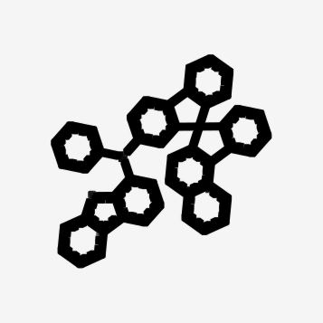 c1ccc(N(c2ccc3c(c2)C2(c4ccccc4-3)c3ccccc3-c3c2ccc2ccccc32)c2cccc3c2sc2ccccc23)cc1